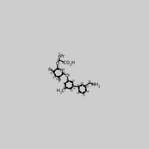 CCCC(Oc1nc(Oc2cc(C)cc(-c3cccc(CN)c3)c2)c(F)cc1F)C(=O)O